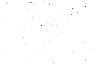 c1ccc(-c2ccc(-c3ccc(N(c4ccccc4-c4ccccc4)c4cc(N(c5ccc(-c6ccccc6)cc5)c5ccccc5-c5ccccc5)cc5c4oc4c6ccccc6ccc54)cc3)cc2)cc1